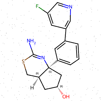 NC1=N[C@@]2(c3cccc(-c4cncc(F)c4)c3)C[C@H](O)C[C@H]2CS1